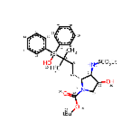 CCOC(=O)N[C@@H]1[C@@H](CCC(C)(C)[Si](O)(c2ccccc2)c2ccccc2)N(C(=O)OC(C)(C)C)C[C@@H]1O